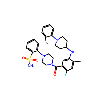 Cc1cc(F)c(C(=O)N2CCN(c3ccccc3S(N)(=O)=O)CC2)cc1NC1CCN(c2ccccc2C#N)CC1